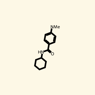 CNc1ccc(C(=O)NC2CCCCC2)cc1